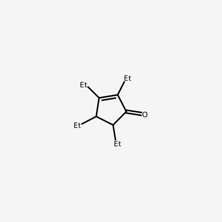 CCC1=C(CC)C(CC)C(CC)C1=O